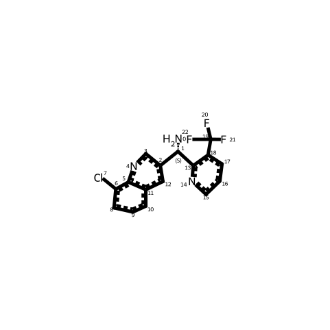 N[C@@H](c1cnc2c(Cl)cccc2c1)c1ncccc1C(F)(F)F